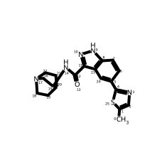 Cc1cnc(-c2ccc3[nH]nc(C(=O)NC4CN5CCC4CC5)c3c2)s1